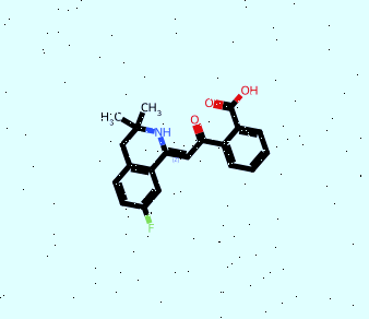 CC1(C)Cc2ccc(F)cc2/C(=C/C(=O)c2ccccc2C(=O)O)N1